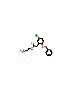 NCCOC(=O)Cc1cc(Br)ccc1OCc1ccccc1